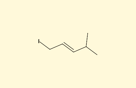 CC(C)C=CCI